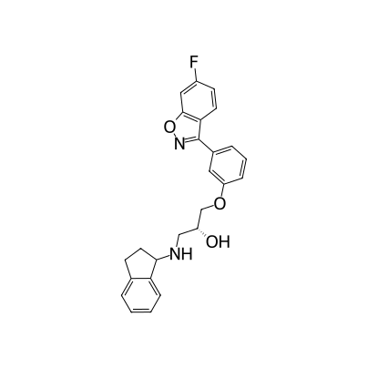 O[C@H](CNC1CCc2ccccc21)COc1cccc(-c2noc3cc(F)ccc23)c1